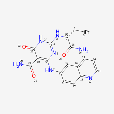 CC(C)C[C@@H](Nc1nc(Nc2ccc3ncccc3c2)c(C(N)=O)c(=O)[nH]1)C(N)=O